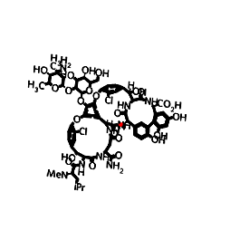 CN[C@H](CC(C)C)C(=O)NC1C(=O)NC(C(N)=O)CC(=O)N[C@H]2C(=O)N[C@H]3C(=O)NC(C(=O)N[C@@H](C(=O)O)c4cc(O)cc(O)c4-c4cc3ccc4O)[C@H](O)c3ccc(c(Cl)c3)Oc3cc2cc(c3O[C@@H]2OC(CO)[C@@H](O)C(O)C2O[C@H]2CC(C)(N)[C@H](O)C(C)O2)Oc2ccc(cc2Cl)C1O